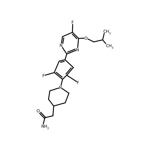 CC(C)COc1nc(-c2cc(F)c(N3CCC(CC(N)=O)CC3)c(F)c2)ncc1F